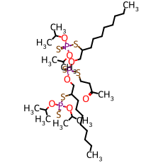 CCCCCCCCC(COP(=S)(OCC(CCCCCCCC)SP(=S)(OC(C)C)OC(C)C)SCCC(C)=O)SP(=S)(OC(C)C)OC(C)C